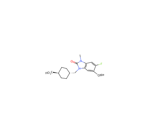 COc1cc2c(cc1F)n(C)c(=O)n2C[C@H]1CC[C@H](C(=O)O)CC1